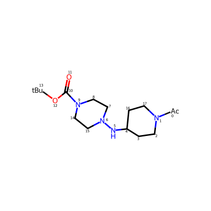 CC(=O)N1CCC(NN2CCN(C(=O)OC(C)(C)C)CC2)CC1